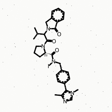 Cc1ncn(C)c1-c1ccc(CN(I)C(=O)[C@@H]2CCCN2C(=O)C(C(C)C)N2Cc3ccccc3C2=O)cc1